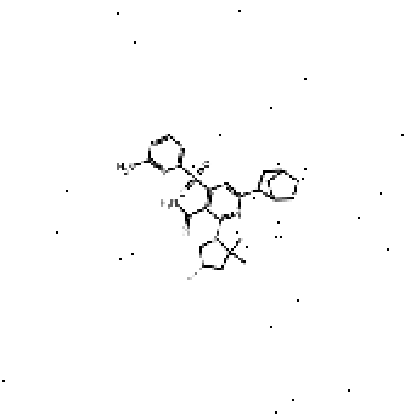 C[C@@H]1CN(c2nc(C3CC4CCC3C4)cc(S(=O)(=O)c3cccc(N)n3)c2C(N)=O)C(C)(C)C1